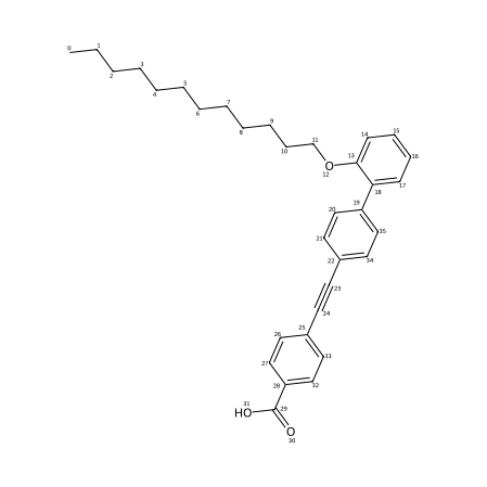 CCCCCCCCCCCCOc1ccccc1-c1ccc(C#Cc2ccc(C(=O)O)cc2)cc1